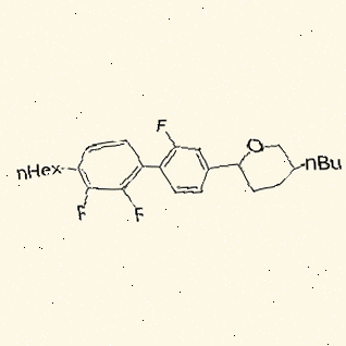 CCCCCCc1ccc(-c2ccc(C3CCC(CCCC)CO3)cc2F)c(F)c1F